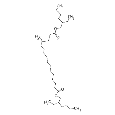 CCCCC(CC)COC(=O)CCCCCCCCCCCC(C)CCC(=O)OCC(CC)CCCC